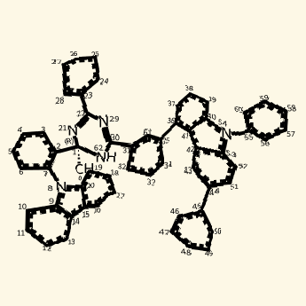 C[C@]1(c2ccccc2-n2c3ccccc3c3ccccc32)N=C(c2ccccc2)N=C(c2cccc(-c3cccc4c3c3cc(-c5ccccc5)ccc3n4-c3ccccc3)c2)N1